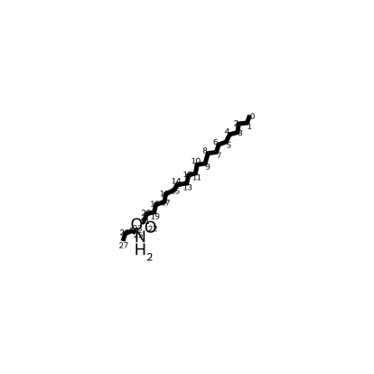 CCCCCCCCCCCCCCCCCCCCCC(=O)OC(N)CC